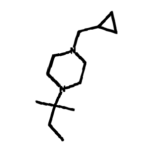 CCC(C)(C)N1CCN(CC2CC2)CC1